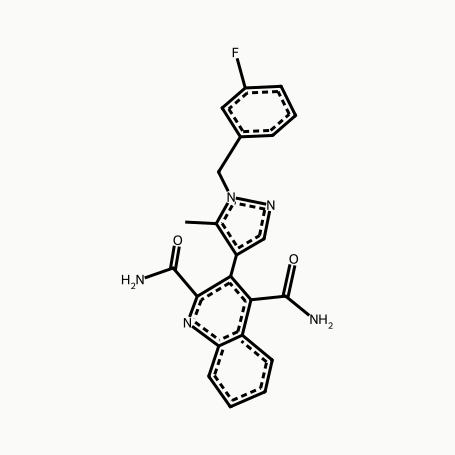 Cc1c(-c2c(C(N)=O)nc3ccccc3c2C(N)=O)cnn1Cc1cccc(F)c1